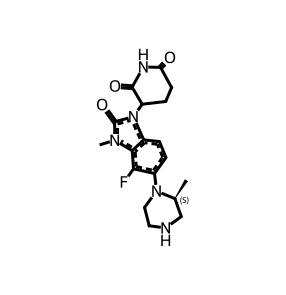 C[C@H]1CNCCN1c1ccc2c(c1F)n(C)c(=O)n2C1CCC(=O)NC1=O